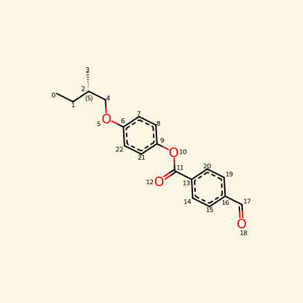 CC[C@H](C)COc1ccc(OC(=O)c2ccc(C=O)cc2)cc1